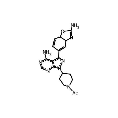 CC(=O)N1CCC(n2nc(C3=CC4N=C(N)OC4C=C3)c3c(N)ncnc32)CC1